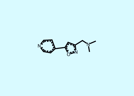 CN(C)Cc1cc(-c2ccncc2)on1